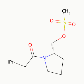 CC(C)CC(=O)N1CCC[C@H]1COS(C)(=O)=O